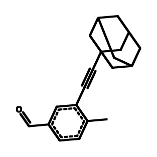 Cc1ccc(C=O)cc1C#CC12CC3CC(CC(C3)C1)C2